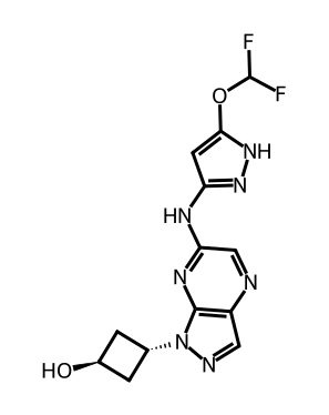 O[C@H]1C[C@H](n2ncc3ncc(Nc4cc(OC(F)F)[nH]n4)nc32)C1